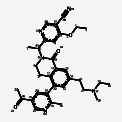 CCOc1cc([C@H](C)N2CCc3c(cc(CCN(C)CC)cc3-c3cc(C(C)=O)cnc3C)C2=O)ncc1C#N